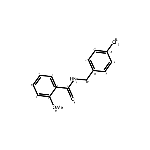 COc1ccccc1C(=O)NCc1ccc(C(F)(F)F)cc1